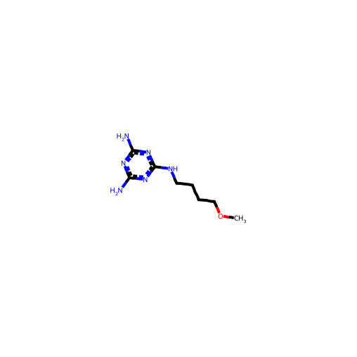 COCCCCNc1nc(N)nc(N)n1